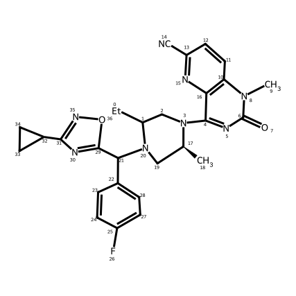 CCC1CN(c2nc(=O)n(C)c3ccc(C#N)nc23)[C@@H](C)CN1C(c1ccc(F)cc1)c1nc(C2CC2)no1